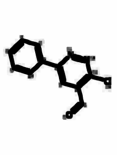 O=Cc1cc(-c2ccccc2)nnc1Cl